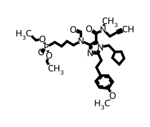 C#CCN(C)C(=O)c1c(N(C=O)CCCCP(=O)(OCC)OCC)nc(CCc2ccc(OC)cc2)n1CC1CCCC1